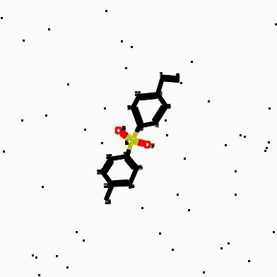 C=Cc1ccc(S(=O)(=O)c2ccc(C)cc2)cc1